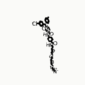 Cc1ccc([C@@H](c2ccc(Cl)cc2Cl)N2CCN(C(=O)NC3CCC(C(=O)NCCOCCOCCOCCN=[N+]=[N-])CC3)CC2)cc1